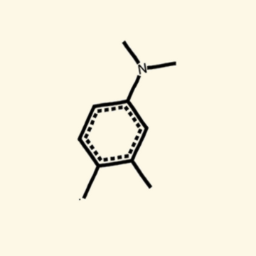 [CH2]c1ccc(N(C)C)cc1C